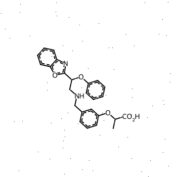 CC(Oc1cccc(CNCC(Oc2ccccc2)c2nc3ccccc3o2)c1)C(=O)O